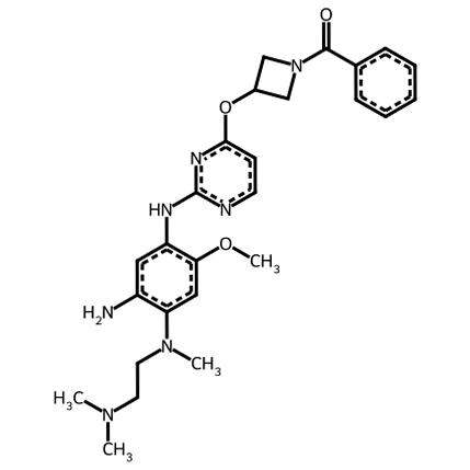 COc1cc(N(C)CCN(C)C)c(N)cc1Nc1nccc(OC2CN(C(=O)c3ccccc3)C2)n1